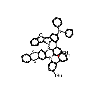 Cc1cc2c3c(c1)N(c1ccc(C(C)(C)C)cc1-c1ccccc1)c1cc4c(cc1B3n1c3c-2cc(N(c2ccccc2)c2ccccc2)cc3c2oc3ccccc3c21)Sc1ccccc1S4